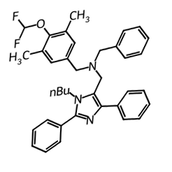 CCCCn1c(-c2ccccc2)nc(-c2ccccc2)c1CN(Cc1ccccc1)Cc1cc(C)c(OC(F)F)c(C)c1